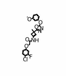 COc1cccc(Oc2nnc(C3(C)C=C(NC(=O)COc4ccc(Cl)c(F)c4)C3)o2)c1